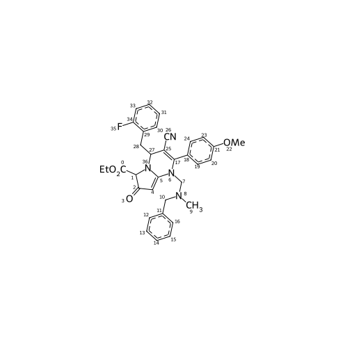 CCOC(=O)C1C(=O)C=C2N(CN(C)Cc3ccccc3)C(c3ccc(OC)cc3)=C(C#N)C(Cc3ccccc3F)N21